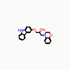 OC(COc1ccc2[nH]c3ccccc3c2c1)CN1CCOc2ccccc21